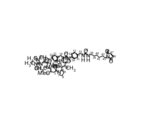 CC[C@H](C)[C@@H]([C@@H](CC(=O)N1CCCC1[C@H](OC)[C@@H](C)C(=O)NC(Cc1ccccc1)C(=O)Nc1ccc(CNC(=O)NCCCCCCN2C(=O)C=CC2=O)cc1)OC)N(C)C(=O)C(N=C(N(C)C)N(C)C)C(C)C